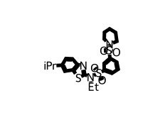 CCN(c1nc2ccc(C(C)C)cc2s1)S(=O)(=O)c1cccc(S(=O)(=O)N2CCCCC2)c1